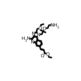 CCOCc1nc2c(N)nc3cc(/C=C/C(=O)OCC)ccc3c2n1CC(C)(C)OCCN